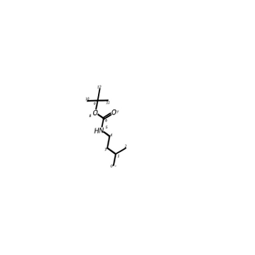 [CH2]C(C)CCNC(=O)OC(C)(C)C